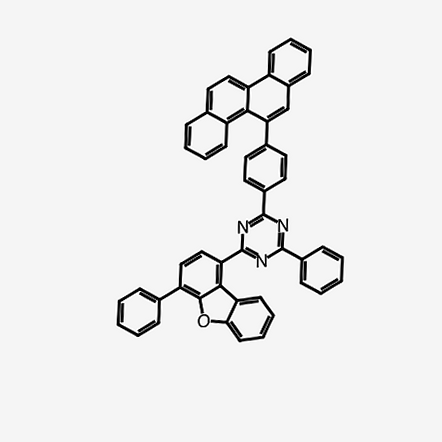 c1ccc(-c2nc(-c3ccc(-c4cc5ccccc5c5ccc6ccccc6c45)cc3)nc(-c3ccc(-c4ccccc4)c4oc5ccccc5c34)n2)cc1